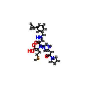 CSCC[C@@H](C(=O)O)N(C(=O)CNCc1cccc(C2CC2)c1)n1cnc(CC(=O)N2CCCC2)c1